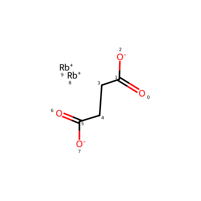 O=C([O-])CCC(=O)[O-].[Rb+].[Rb+]